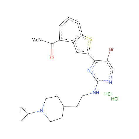 CNC(=O)c1cccc2sc(-c3nc(NCCC4CCN(C5CC5)CC4)ncc3Br)cc12.Cl.Cl